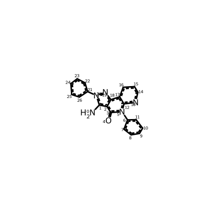 Nc1c2c(=O)n(-c3ccccc3)c3ncccc3c2nn1-c1ccccc1